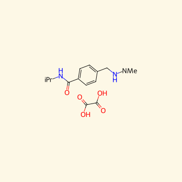 CNNCc1ccc(C(=O)NC(C)C)cc1.O=C(O)C(=O)O